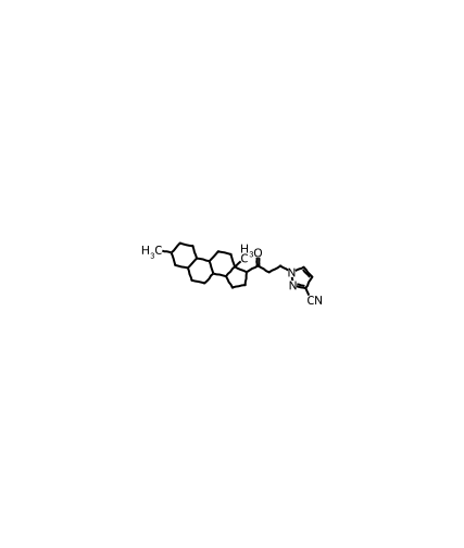 CC1CCC2C(CCC3C2CCC2(C)C(C(=O)CCn4ccc(C#N)n4)CCC32)C1